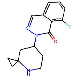 O=c1c2c(F)cccc2cnn1C1CCNC2(CC2)C1